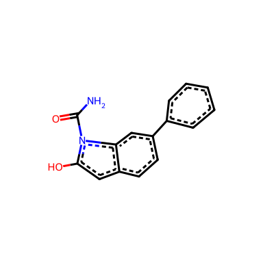 NC(=O)n1c(O)cc2ccc(-c3ccccc3)cc21